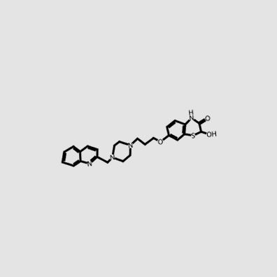 O=C1Nc2ccc(OCCCN3CCN(Cc4ccc5ccccc5n4)CC3)cc2SC1O